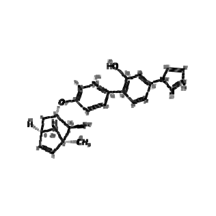 C[C@@]12C=C[C@@H](C[C@H](Oc3ccc(-c4ccc(-n5ccnn5)cc4O)nn3)[C@H]1F)N2